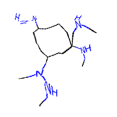 CNN(C)C1CC(N)CC(NC)(NC)C1